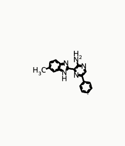 Cc1ccc2nc(-c3nc(-c4cc[c]cc4)cnc3N)[nH]c2c1